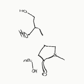 CC(O)CO.CCCCO.CN1CCCC1=O